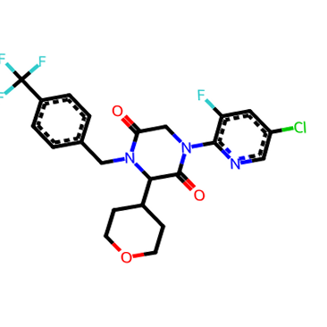 O=C1C(C2CCOCC2)N(Cc2ccc(C(F)(F)F)cc2)C(=O)CN1c1ncc(Cl)cc1F